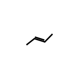 CC=CC